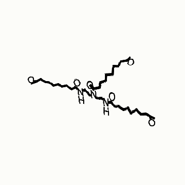 O=C(CCCCCCCCC1CO1)NCCN(CCNC(=O)CCCCCCCCC1CO1)C(=O)CCCCCCCCC1CO1